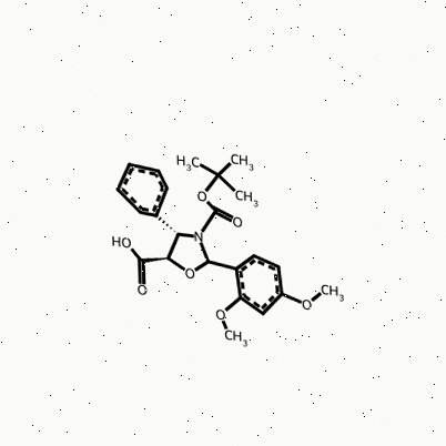 COc1ccc(C2O[C@@H](C(=O)O)[C@H](c3ccccc3)N2C(=O)OC(C)(C)C)c(OC)c1